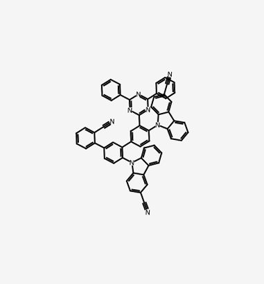 N#Cc1ccc2c(c1)c1ccccc1n2-c1ccc(-c2ccccc2C#N)cc1-c1ccc(-n2c3ccccc3c3cc(C#N)ccc32)c(-c2nc(-c3ccccc3)nc(-c3ccccc3)n2)c1